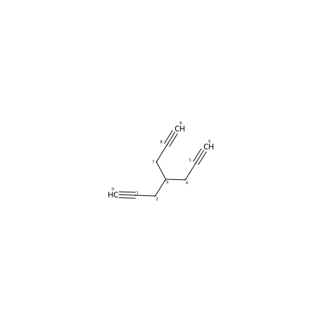 C#CC[C](CC#C)CC#C